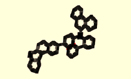 c1ccc(-c2ccccc2N(c2ccc(-c3ccc4c(ccc5sc6ccccc6c54)c3)cc2)c2cc3ccccc3c3ccccc23)cc1